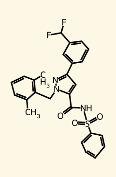 Cc1cccc(C)c1Cn1nc(-c2cccc(C(F)F)c2)cc1C(=O)NS(=O)(=O)c1ccccc1